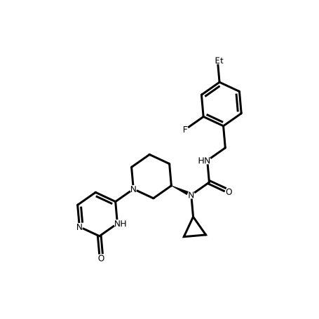 CCc1ccc(CNC(=O)N(C2CC2)[C@@H]2CCCN(c3ccnc(=O)[nH]3)C2)c(F)c1